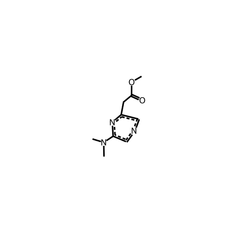 COC(=O)Cc1cncc(N(C)C)n1